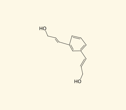 OCC=Cc1cccc(C=CCO)c1